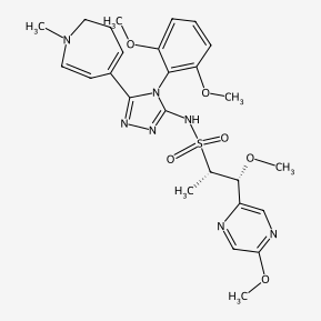 COc1cnc([C@@H](OC)[C@H](C)S(=O)(=O)Nc2nnc(C3=CCCN(C)C=C3)n2-c2c(OC)cccc2OC)cn1